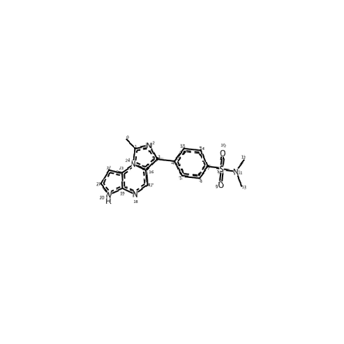 Cc1nc(-c2ccc(S(=O)(=O)N(C)C)cc2)c2cnc3[nH]ccc3n12